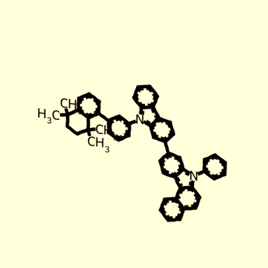 CC1(C)CCC(C)(C)c2c(-c3cccc(-n4c5ccccc5c5ccc(-c6ccc7c8c9ccccc9ccc8n(-c8ccccc8)c7c6)cc54)c3)cccc21